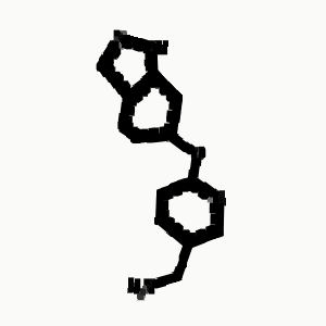 NCc1ccc(Oc2ccc3cn[nH]c3c2)nc1